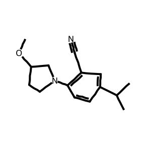 COC1CCN(c2ccc(C(C)C)cc2C#N)C1